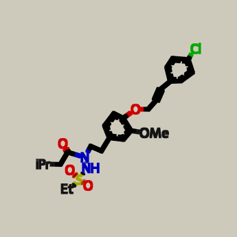 CCS(=O)(=O)NN(CCc1ccc(OCC#Cc2ccc(Cl)cc2)c(OC)c1)C(=O)CC(C)C